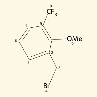 COc1c(CBr)cccc1C(F)(F)F